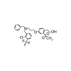 CS(=O)(=O)c1cc(OCCCN(Cc2ccccc2)Cc2cccc(C(F)(F)F)c2Cl)ccc1CCO